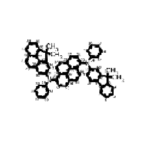 CC1(C)c2ccccc2-c2ccc(N(c3ccccc3)c3ccc4ccc5c(N(c6ccccc6)c6cc7c8c(ccc9cccc(c98)C7(C)C)c6)ccc6ccc3c4c65)cc21